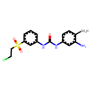 Nc1cc(NC(=O)Nc2cccc(S(=O)(=O)CCCl)c2)ccc1S(=O)(=O)O